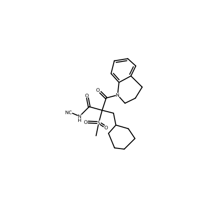 CS(=O)(=O)C(CC1CCCCC1)(C(=O)NC#N)C(=O)N1CCCc2ccccc21